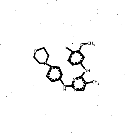 COc1cc(Nc2nc(Nc3ccc(N4CCOCC4)cc3)ncc2C)ccc1I